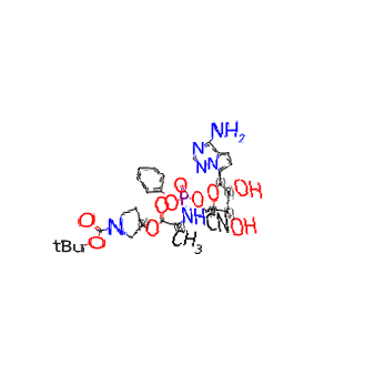 C[C@@H](NP(=O)(OC[C@@]1(C#N)O[C@@H](c2ccc3c(N)ncnn23)[C@H](O)[C@@H]1O)Oc1ccccc1)C(=O)O[C@@H]1CCN(C(=O)OC(C)(C)C)C1